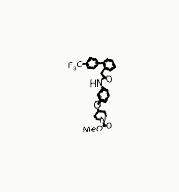 COC(=O)N1CCC(Oc2cccc(NC(=O)Cc3ccccc3-c3ccc(C(F)(F)F)cc3)c2)CC1